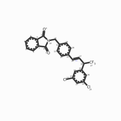 O=C1c2ccccc2C(=O)N1Cc1ccc(/C=C/C(c2cc(Cl)cc(Cl)c2)C(F)(F)F)cc1